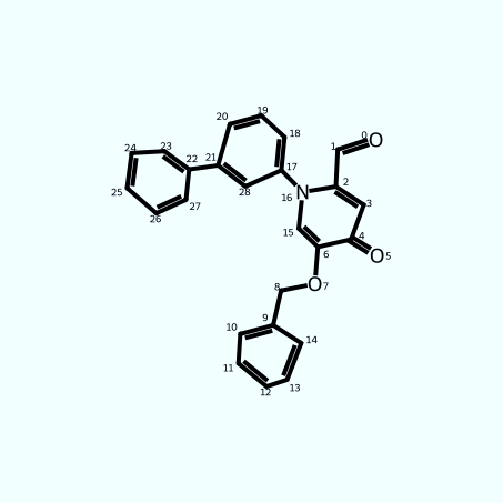 O=Cc1cc(=O)c(OCc2ccccc2)cn1-c1cccc(-c2ccccc2)c1